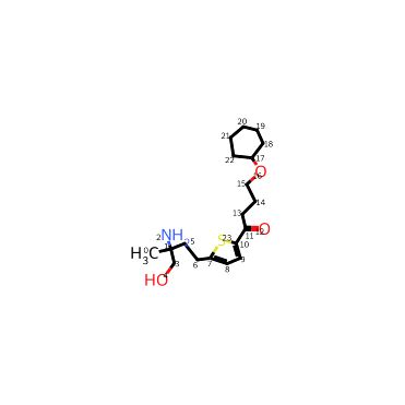 CC(N)(CO)CCc1ccc(C(=O)CCCOC2CCCCC2)s1